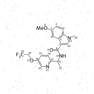 COc1ccc2c(c1)c(C(=O)NC(C)c1ccc(OCC(F)(F)F)cn1)cn2C